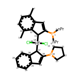 CCCP(CCC)C1=Cc2c(C)ccc(C)c2[CH]1[Hf]([Cl])([Cl])[CH]1C(P2CCCC2)=Cc2ccccc21